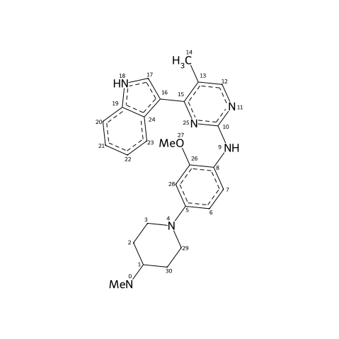 CNC1CCN(c2ccc(Nc3ncc(C)c(-c4c[nH]c5ccccc45)n3)c(OC)c2)CC1